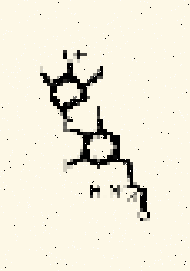 N[C@@H]([C]=O)Cc1cc(I)c(Oc2cc(I)c(O)c(I)c2)c(I)c1